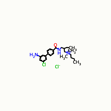 CCCC[N+](C)(C)CC(CC)CNC(=O)c1ccc(-c2cc(N)cc(Cl)c2)cc1.[Cl-]